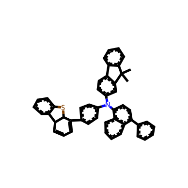 CC1(C)c2ccccc2-c2ccc(N(c3ccc(C4=CC=CC5c6ccccc6SC45)cc3)c3ccc(-c4ccccc4)c4ccccc34)cc21